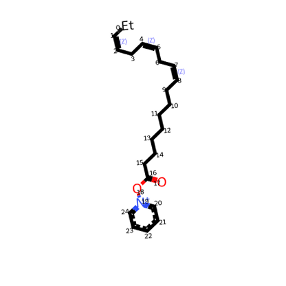 CC/C=C\C/C=C\C/C=C\CCCCCCCC(=O)O[n+]1ccccc1